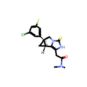 CN(C)C(=O)Cc1[nH]c(=S)n2c1[C@@H]1C[C@]1(c1cc(F)cc(Cl)c1)C2